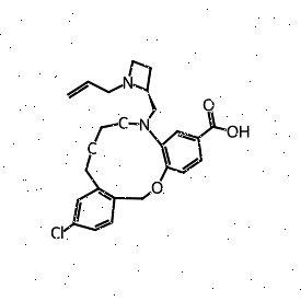 C=CCN1CC[C@H]1CN1CCCCc2cc(Cl)ccc2COc2ccc(C(=O)O)cc21